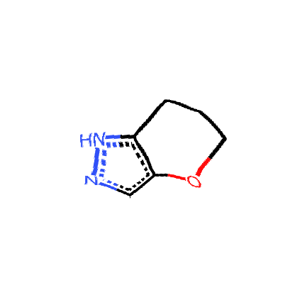 [c]1n[nH]c2c1OCCC2